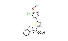 CC(C)Oc1ncc(-c2cnc([C@@H](C(=O)O)C3(C)CCc4ccccc43)s2)cc1Cl